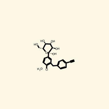 C#Cc1ccc(Cc2cc([C@@]3(O)O[C@H](CO)[C@@H](O)[C@H](O)[C@H]3O)ccc2Cl)cc1.O